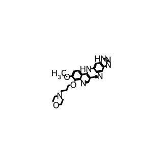 COc1ccc2c(Nc3ccc4nn[nH]c4c3)c(C#N)cnc2c1OCCCN1CCOCC1